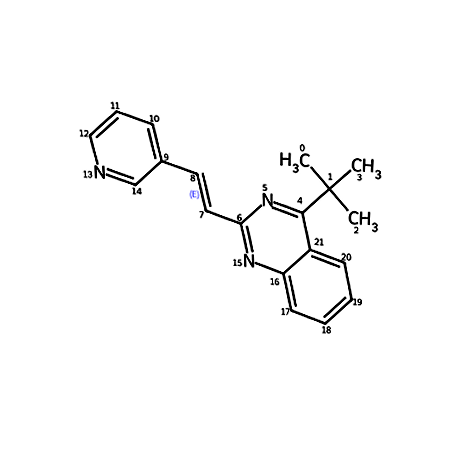 CC(C)(C)c1nc(/C=C/c2cccnc2)nc2ccccc12